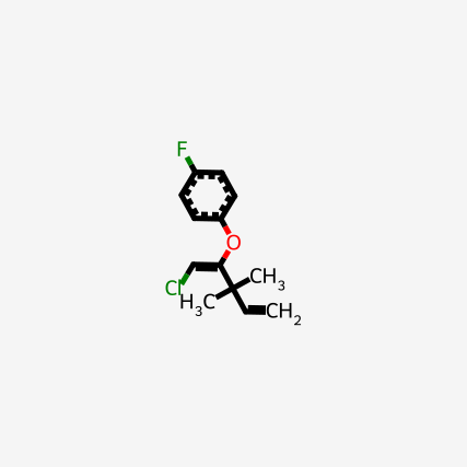 C=CC(C)(C)C(=CCl)Oc1ccc(F)cc1